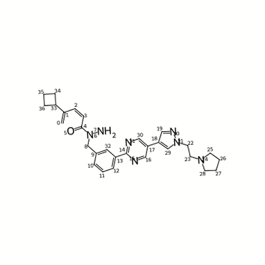 C=C(/C=C\C(=O)N(N)Cc1cccc(-c2ncc(-c3cnn(CCN4CCCC4)c3)cn2)c1)C1CCC1